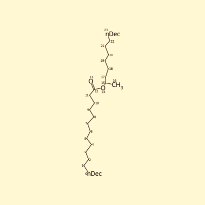 CCCCCCCCCCCCCCCCCCCCCC(=O)OC(C)CCCCCCCCCCCCCCCC